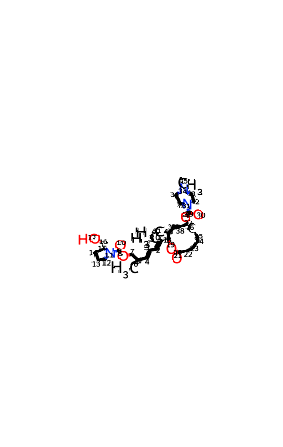 C/C(=C\C=C\C(C)COC(=O)N1CCC[C@@H]1CO)[C@H]1OC(=O)CCCCC[C@@H](OC(=O)N2CCN(C)CC2)/C=C/[C@@H]1C